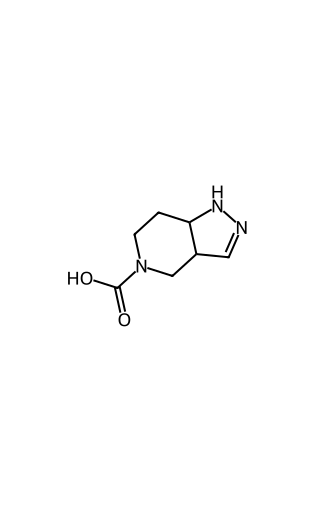 O=C(O)N1CCC2NN=CC2C1